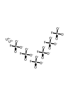 O=P([O-])([O-])F.O=P([O-])([O-])F.O=P([O-])([O-])F.O=P([O-])([O-])F.O=P([O-])([O-])F.O=P([O-])([O-])F.[U+6].[U+6]